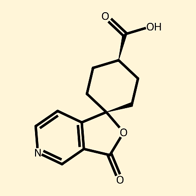 O=C1O[C@]2(CC[C@H](C(=O)O)CC2)c2ccncc21